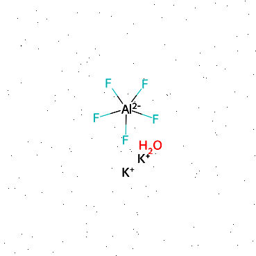 O.[F][Al-2]([F])([F])([F])[F].[K+].[K+]